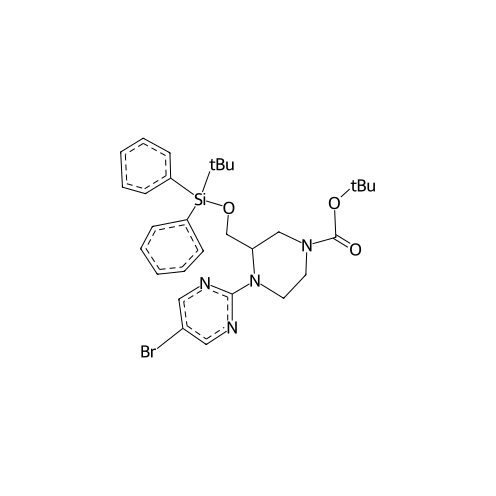 CC(C)(C)OC(=O)N1CCN(c2ncc(Br)cn2)C(CO[Si](c2ccccc2)(c2ccccc2)C(C)(C)C)C1